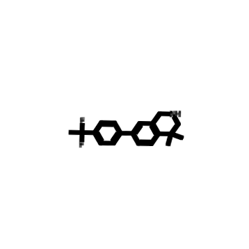 CC(F)(F)c1ccc(-c2ccc3c(c2)CNCC3(C)C)cc1